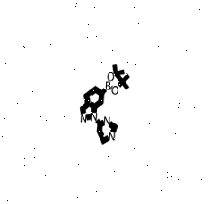 CC1(C)OB(c2ccc3cnn(-c4ccncn4)c3c2)OC1(C)C